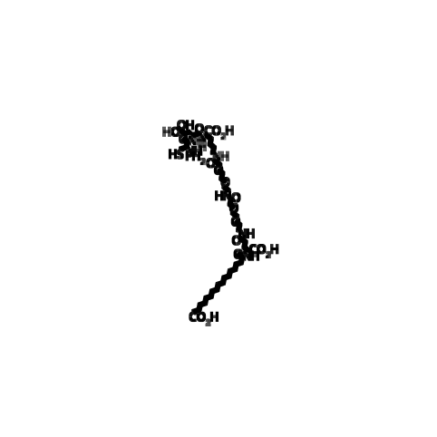 O=C(O)CCCCCCCCCCCCCCCCC(=O)N[C@@H](CCC(=O)NCCOCCOCC(=O)NCCOCCOCC(=O)NCCCCC(NC(=O)[C@H](CCC(O)O)NC(=O)C(CS)NP)C(=O)O)C(=O)O